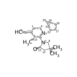 C#Cc1ccnc(N2CC(C)(C)CC2=O)c1C.c1cc2cc-2c1